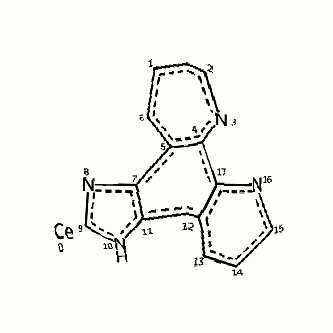 [Ce].c1cnc2c(c1)c1nc[nH]c1c1cccnc12